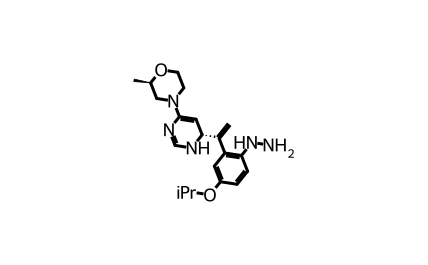 C=C(c1cc(OC(C)C)ccc1NN)[C@H]1C=C(N2CCO[C@H](C)C2)N=CN1